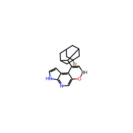 BrC12CC3CC(C1)C(C1=CBOc4cnc5[nH]ccc5c41)C(C3)C2